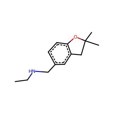 CCNCc1ccc2c(c1)CC(C)(C)O2